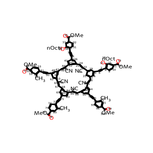 [C-]#[N+]/C1=C\c2cc(C#Cc3ccc(C(=O)OC)cc3OCCCCCCCC)cc(c2)/C(C#N)=C/c2cc(C#Cc3ccc(C(=O)OC)cc3OCCCCCCCC)cc(c2)/C(C#N)=C/c2cc(C#Cc3ccc(C(=O)OC)cc3C)cc(c2)/C(C#N)=C/c2cc(C#Cc3ccc(C(=O)OC)cc3C)cc(c2)/C([N+]#[C-])=C/c2cc(C#Cc3ccc(C(=O)OC)cc3C)cc1c2